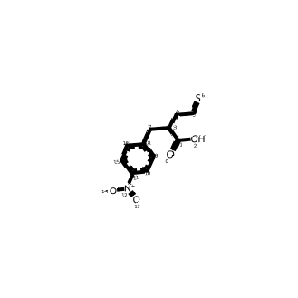 O=C(O)C(CC=S)Cc1ccc([N+](=O)[O-])cc1